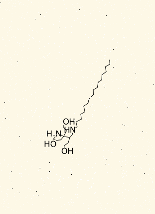 CCCCCCCCCCCCCCCCCCNCC(CCO)C(N)(CCO)CCO